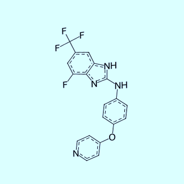 Fc1cc(C(F)(F)F)cc2[nH]c(Nc3ccc(Oc4ccncc4)cc3)nc12